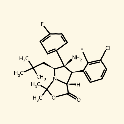 CC(C)(C)C[C@@H]1N2[C@@H](C(=O)OC2(C)C)[C@H](c2cccc(Cl)c2F)[C@@]1(N)c1ccc(F)cc1